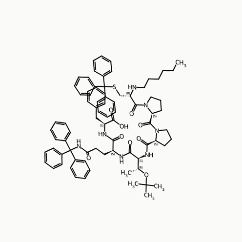 CCCCCCN[C@@H](CSC(c1ccccc1)(c1ccccc1)c1ccccc1)C(=O)N1CCC[C@H]1C(=O)N1CCC[C@H]1C(=O)N[C@H](C(=O)N[C@@H](CCC(=O)NC(c1ccccc1)(c1ccccc1)c1ccccc1)C(=O)N[C@@H](Cc1ccccc1)C(=O)O)[C@@H](C)OC(C)(C)C